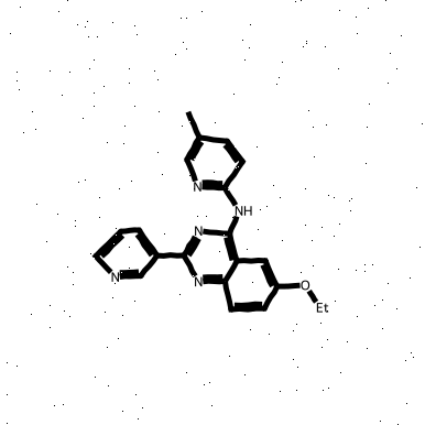 CCOc1ccc2nc(-c3cccnc3)nc(Nc3ccc(C)cn3)c2c1